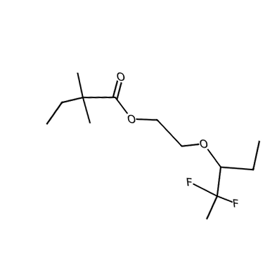 CCC(OCCOC(=O)C(C)(C)CC)C(C)(F)F